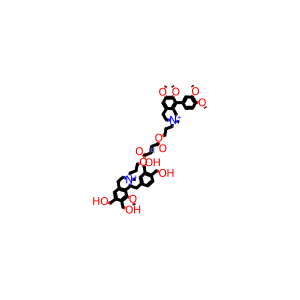 COc1ccc(-c2c3c(cc(OC)c2OC)CC[N+](C)(CCCOC(=O)/C=C/C(=O)OCCC[N+]2(C)CCc4cc(CO)c(CO)c(OC)c4C2Cc2ccc(CO)c(CO)c2)C3)cc1OC